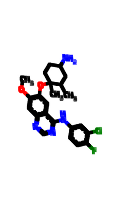 COc1cc2ncnc(Nc3ccc(F)c(Cl)c3)c2cc1OC1(C)CCC(N)CC1C